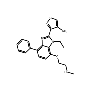 CCn1c(-c2nonc2N)nc2c(-c3ccccc3)ncc(OCCNC)c21